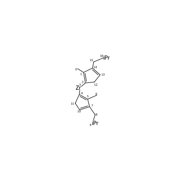 CC1=[C]([Zr][C]2=C(C)C(CC(C)C)=CC2)CC=C1CC(C)C